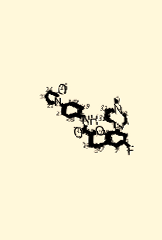 CN1CCN(c2cc(F)cc3c2OC(C(=O)Nc2ccc(N4CCCC4=O)cc2)CC3)CC1